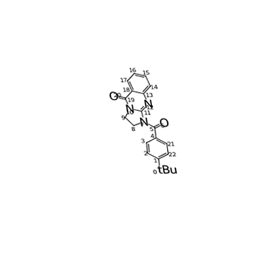 CC(C)(C)c1ccc(C(=O)N2CCn3c2nc2ccccc2c3=O)cc1